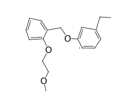 CCc1cc[c]c(OCc2ccccc2OCCOC)c1